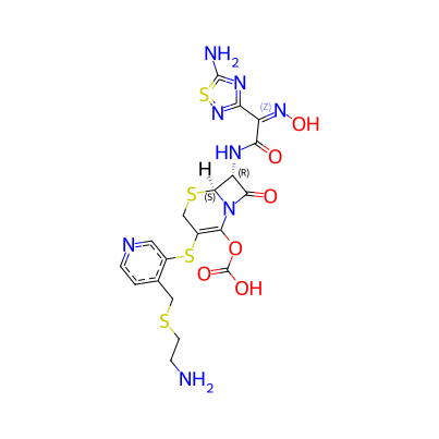 NCCSCc1ccncc1SC1=C(OC(=O)O)N2C(=O)[C@@H](NC(=O)/C(=N\O)c3nsc(N)n3)[C@@H]2SC1